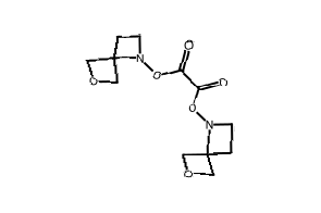 O=C(ON1CCC12COC2)C(=O)ON1CCC12COC2